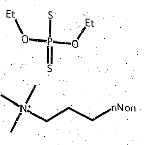 CCCCCCCCCCCC[N+](C)(C)C.CCOP(=S)([S-])OCC